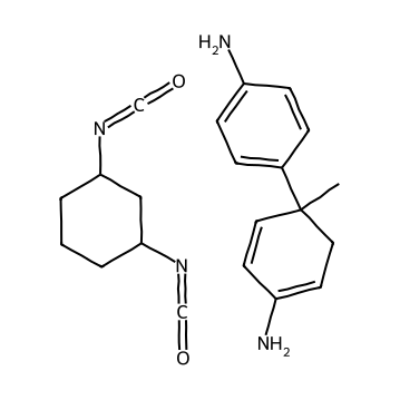 CC1(c2ccc(N)cc2)C=CC(N)=CC1.O=C=NC1CCCC(N=C=O)C1